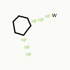 C1CCCCC1.F.F.F.F.F.F.[W]